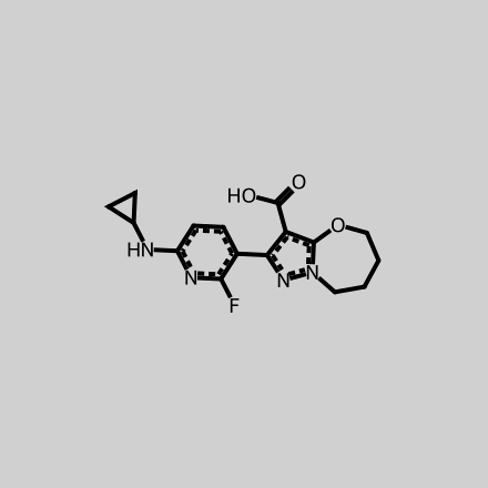 O=C(O)c1c(-c2ccc(NC3CC3)nc2F)nn2c1OCCCC2